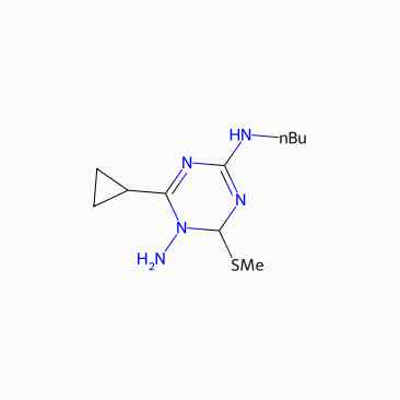 CCCCNC1=NC(SC)N(N)C(C2CC2)=N1